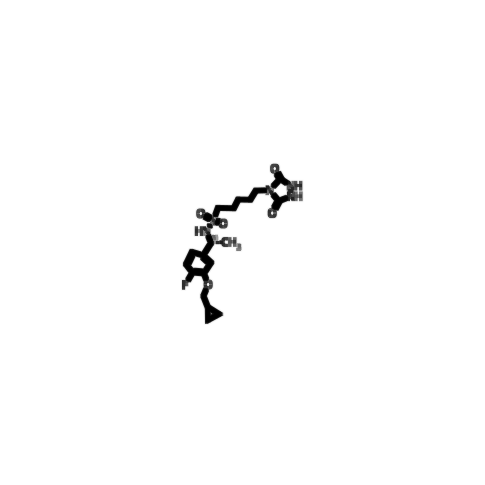 C[C@@H](NS(=O)(=O)CCCCCn1c(=O)[nH][nH]c1=O)c1ccc(F)c(OCC2CC2)c1